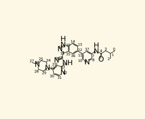 CC(C)CC(=O)Nc1cncc(-c2ccc3[nH]nc(-c4nc5c(N6CCN(C)CC6)ccnc5[nH]4)c3c2)c1